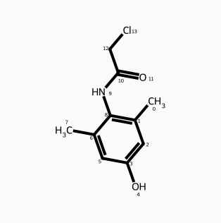 Cc1cc(O)cc(C)c1NC(=O)CCl